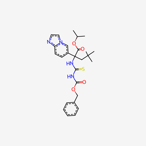 CC(C)OC(=O)C(CC(C)(C)C)(NC(=S)NC(=O)OCc1ccccc1)c1ccc2nccn2c1